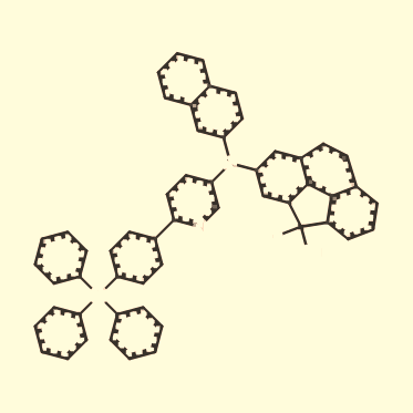 CC1(C)c2cccc3ccc4cc(N(c5ccc(-c6ccc([Si](c7ccccc7)(c7ccccc7)c7ccccc7)cc6)nc5)c5ccc6ccccc6c5)cc1c4c23